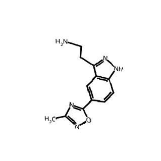 Cc1noc(-c2ccc3[nH]nc(CCN)c3c2)n1